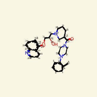 Cc1ccccc1N1CCN(C(=O)C2CCCN(C[C@@H](O)COc3cccc4ncccc34)C2)CC1